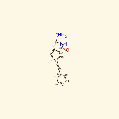 NCc1cc2ccc(C#Cc3ccccc3)cc2c(=O)[nH]1